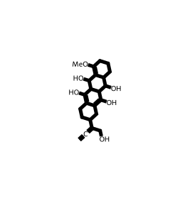 C=C=C(CO)C1CCC2=C(O)C3C(O)C4=C(OC)CCCC4C(O)C3C(O)=C2C1